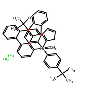 Cl.Cl.[CH2]=[Hf]([C]1=CC=CC1)([c]1ccc(C(C)(C)C)cc1)([c]1ccc(C(C)(C)C)cc1)[c]1cccc2c1c1c(c3ccccc32)-c2ccccc2C1